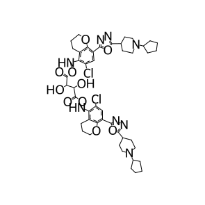 O=C(ONc1c(Cl)cc(-c2nnc(C3CCN(C4CCCC4)CC3)o2)c2c1CCCO2)C(O)C(O)C(=O)ONc1c(Cl)cc(-c2nnc(C3CCN(C4CCCC4)CC3)o2)c2c1CCCO2